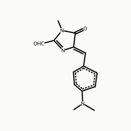 CN1C(=O)/C(=C/c2ccc(N(C)C)cc2)N=C1C=O